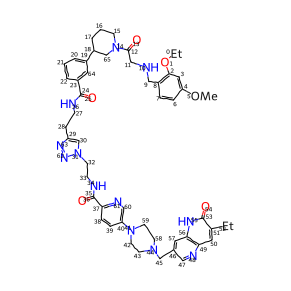 CCOc1cc(OC)ccc1CNCC(=O)N1CCCC(c2cccc(C(=O)NCCc3cn(CCNC(=O)c4ccc(N5CCN(Cc6cnc7cc(CC)c(=O)[nH]c7c6)CC5)cn4)nn3)c2)C1